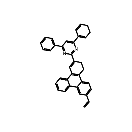 C=Cc1ccc2c3c(c4ccccc4c2c1)C=C(c1nc(C2=CCCC=C2)cc(-c2ccccc2)n1)CC3